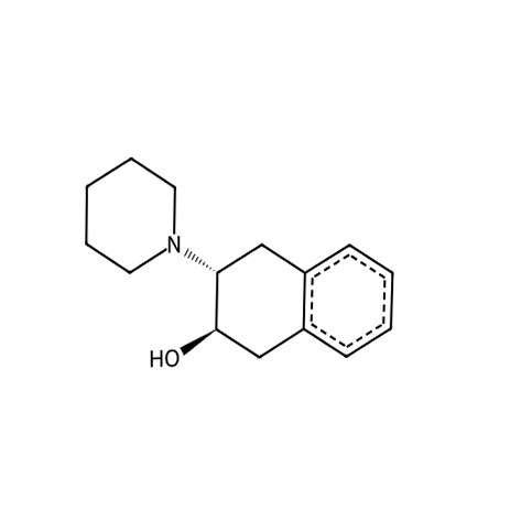 O[C@@H]1Cc2ccccc2C[C@H]1N1CCCCC1